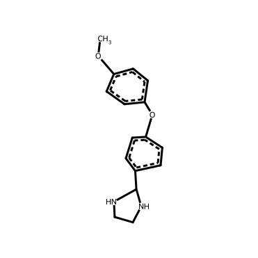 COc1ccc(Oc2ccc(C3NCCN3)cc2)cc1